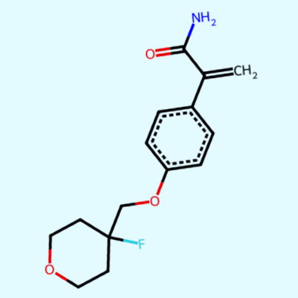 C=C(C(N)=O)c1ccc(OCC2(F)CCOCC2)cc1